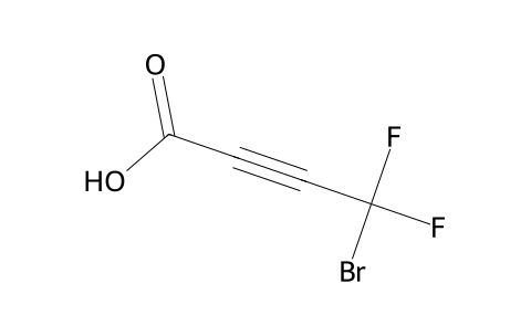 O=C(O)C#CC(F)(F)Br